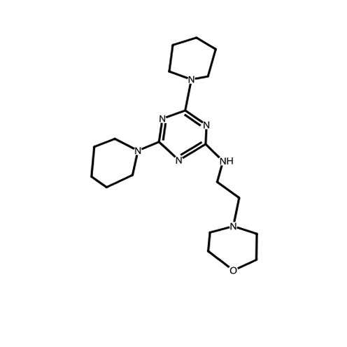 C1CCN(c2nc(NCCN3CCOCC3)nc(N3CCCCC3)n2)CC1